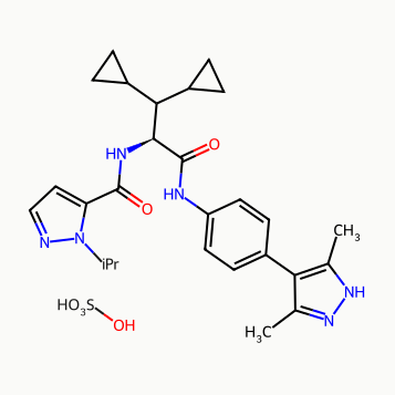 Cc1n[nH]c(C)c1-c1ccc(NC(=O)[C@@H](NC(=O)c2ccnn2C(C)C)C(C2CC2)C2CC2)cc1.O=S(=O)(O)O